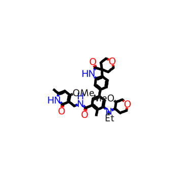 CCN(c1cc(-c2ccc3c(c2)NC(=O)C32CCOCC2)cc(C(=O)NCc2c(OC)cc(C)[nH]c2=O)c1C)C1CCOCC1OC